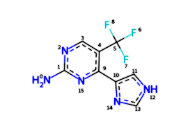 Nc1ncc(C(F)(F)F)c(-c2c[nH]cn2)n1